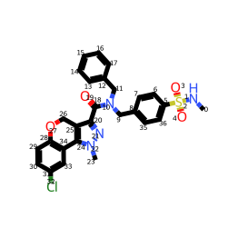 CNS(=O)(=O)c1ccc(CN(Cc2ccccc2)C(=O)c2nn(C)c3c2COc2ccc(Cl)cc2-3)cc1